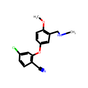 CNCc1cc(Oc2cc(Cl)ccc2C#N)ccc1OC